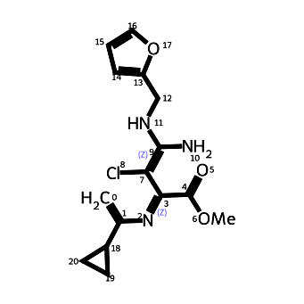 C=C(/N=C(C(=O)OC)\C(Cl)=C(/N)NCc1ccco1)C1CC1